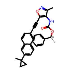 Cc1noc(C#Cc2ccc3cc(C4(C)CC4)ccc3c2)c1NC(=O)O[C@H](C)c1ccccc1